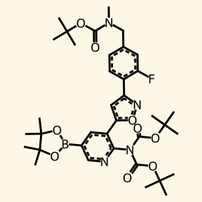 CN(Cc1ccc(-c2cc(-c3cc(B4OC(C)(C)C(C)(C)O4)cnc3N(C(=O)OC(C)(C)C)C(=O)OC(C)(C)C)on2)c(F)c1)C(=O)OC(C)(C)C